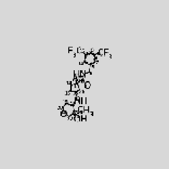 CC(=O)[C@]1(C(=O)NCc2cc(C(F)(F)F)cc(C(F)(F)F)c2)CC[C@@H](NC2CCOCC2(C)O)C1